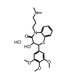 COc1cc(C2Sc3ccccc3N(CCCN(C)C)C(=O)C2O)cc(OC)c1OC.Cl